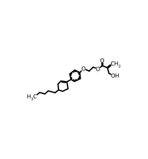 C=C(CO)C(=O)OCCOc1ccc(C2=CCC(CCCCC)CC2)cc1